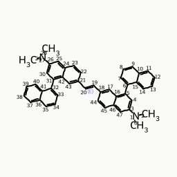 CN(C)c1cc(-c2cccc3ccccc23)c2cc(/C=C/c3ccc4cc(N(C)C)cc(-c5cccc6ccccc56)c4c3)ccc2c1